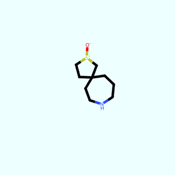 [O-][S+]1CCC2(CCCNCC2)C1